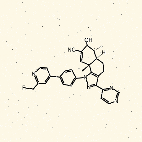 C[C@H]1C(O)C(C#N)=C[C@@]2(C)c3c(c(-c4ccncn4)nn3-c3ccc(-c4ccnc(CF)c4)cc3)CC[C@H]12